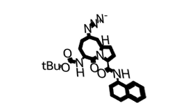 CC(C)(C)OC(=O)N[C@H]1CCC(N=[N+]=[N-])C[C@H]2CC[C@@H](C(=O)N[C@@H]3CCCc4ccccc43)N2C1=O